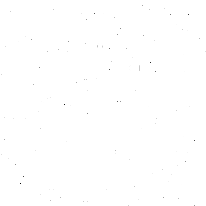 CC(=O)C1COc2ccccc2C1